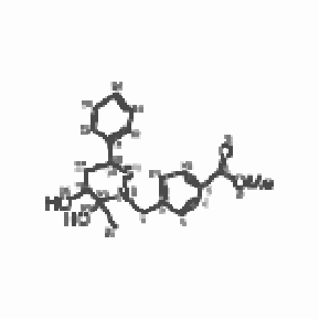 COC(=O)c1ccc(CN2S[C@H](c3ccccc3)CC(O)C2(C)O)cc1